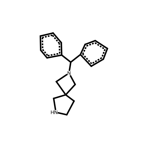 c1ccc(C(c2ccccc2)N2CC3(CCNC3)C2)cc1